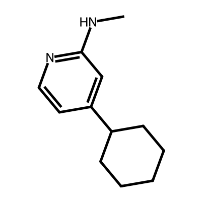 CNc1cc(C2CCCCC2)ccn1